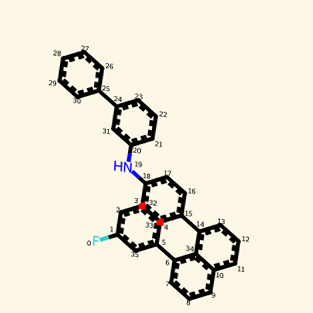 Fc1cccc(-c2cccc3cccc(-c4ccc(Nc5cccc(-c6ccccc6)c5)cc4)c23)c1